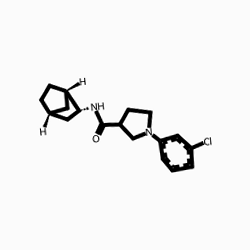 O=C(N[C@@H]1C[C@@H]2CC[C@H]1C2)C1CCN(c2cccc(Cl)c2)C1